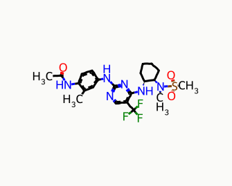 CC(=O)Nc1ccc(Nc2ncc(C(F)(F)F)c(N[C@@H]3CCCC[C@H]3N(C)S(C)(=O)=O)n2)cc1C